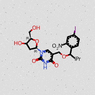 CC(C)C(OCc1cn([C@H]2CC(O)[C@@H](CO)O2)c(=O)[nH]c1=O)c1ccc(I)cc1[N+](=O)[O-]